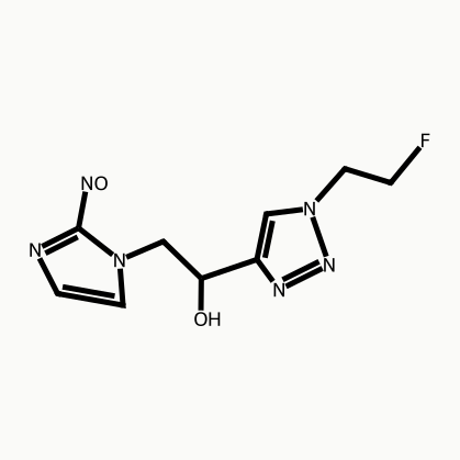 O=Nc1nccn1CC(O)c1cn(CCF)nn1